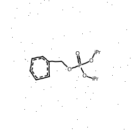 CC(C)OP(=O)(OCc1ccccc1)OC(C)C